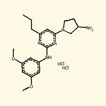 CCCc1cc(N2CCC(N)C2)nc(Nc2cc(OC)cc(OC)c2)n1.Cl.Cl